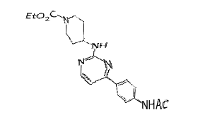 CCOC(=O)N1CCC(Nc2nccc(-c3ccc(NC(C)=O)cc3)n2)CC1